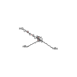 CCCCC=CCCCCCCCCCCOCC(C[N+](C)(C)CCOCCOCCOCCOCCOCCO)OCCCCCCCCCCC=CCCCC.[Br-]